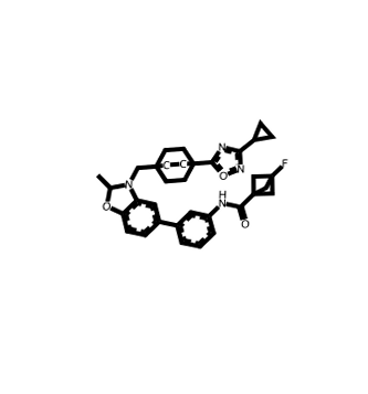 CC1Oc2ccc(-c3cccc(NC(=O)C45CC(F)(C4)C5)c3)cc2N1CC12CCC(c3nc(C4CC4)no3)(CC1)CC2